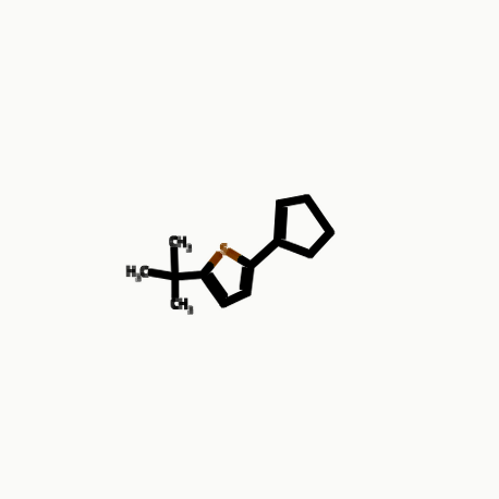 CC(C)(C)c1ccc(C2=CCCC2)s1